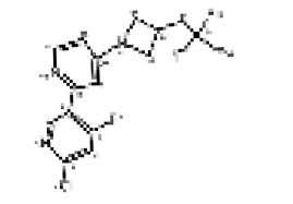 Fc1cc(Cl)ncc1-c1cc(N2CC(CC(F)(F)F)C2)ccn1